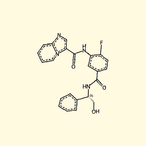 O=C(N[C@H](CO)c1ccccc1)c1ccc(F)c(NC(=O)c2cnc3ccccn23)c1